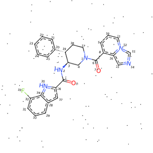 O=C(N[C@@H]1CN(C(=O)c2cccn3cncc23)CC[C@H]1c1ccccc1)c1cc2cccc(F)c2[nH]1